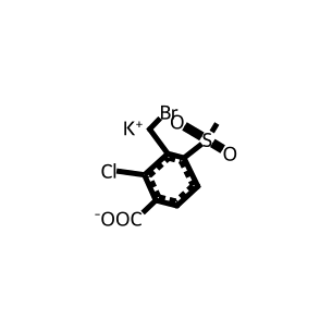 CS(=O)(=O)c1ccc(C(=O)[O-])c(Cl)c1CBr.[K+]